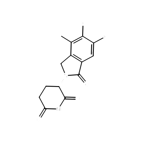 O=C1CC[C@H](N2Cc3c(cc(F)c(F)c3I)C2=O)C(=O)N1